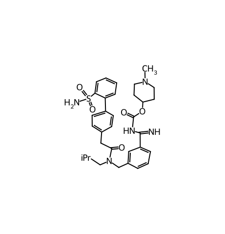 CC(C)CN(Cc1cccc(C(=N)NC(=O)OC2CCN(C)CC2)c1)C(=O)Cc1ccc(-c2ccccc2S(N)(=O)=O)cc1